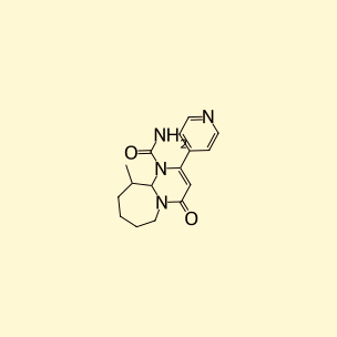 CC1CCCCN2C(=O)C=C(c3ccncc3)N(C(N)=O)C12